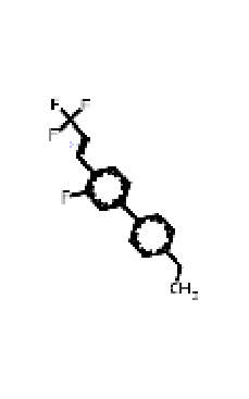 CCc1ccc(-c2ccc(/C=C/C(F)(F)F)c(F)c2)cc1